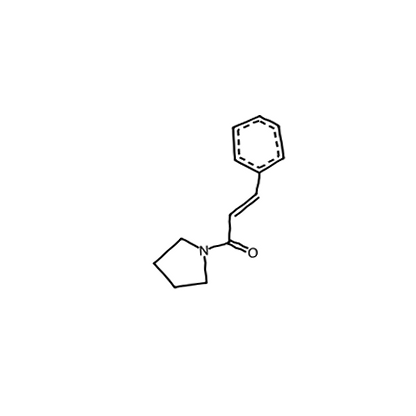 O=C(C=Cc1ccccc1)N1CCCC1